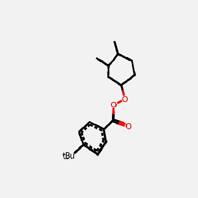 CC1CC[C](OOC(=O)c2ccc(C(C)(C)C)cc2)CC1C